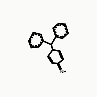 N=C1C=CC(C(c2ccccc2)c2ccccc2)C=C1